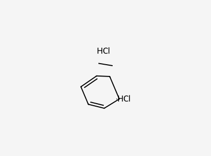 CC.Cl.Cl.[CH]1C=CC=CC1